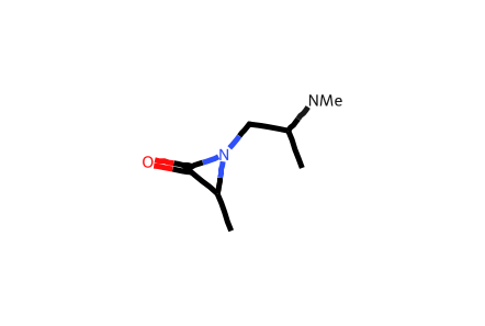 CNC(C)CN1C(=O)C1C